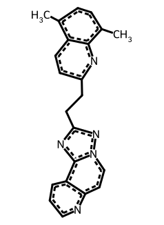 Cc1ccc(C)c2nc(CCc3nc4c5cccnc5ccn4n3)ccc12